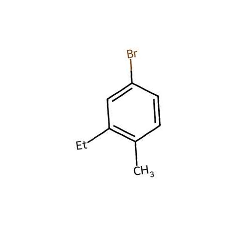 CCc1cc(Br)ccc1C